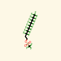 O=S(=O)(OCCC(F)(F)C(F)(F)C(F)(F)C(F)(F)C(F)(F)C(F)(F)C(F)(F)C(F)(F)F)C(F)(F)F